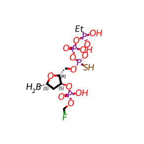 B[C@H]1C[C@H](OP(=O)(O)OCF)[C@@H](COP(=O)(S)OP(=O)(O)OP(=O)(O)CC)O1